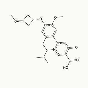 COc1cc2c(cc1O[C@H]1C[C@H](OC)C1)CC(C(C)C)n1cc(C(=O)O)c(=O)cc1-2